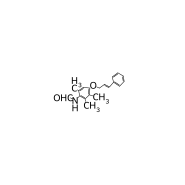 Cc1cc(OCC=Cc2ccccc2)c(C)c(C)c1NC=O